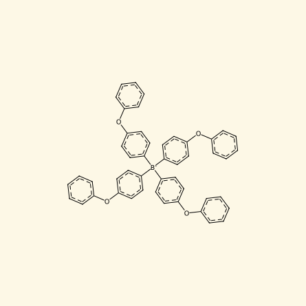 c1ccc(Oc2ccc([B-](c3ccc(Oc4ccccc4)cc3)(c3ccc(Oc4ccccc4)cc3)c3ccc(Oc4ccccc4)cc3)cc2)cc1